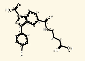 CC(=O)n1nc(-c2ccc(F)cc2)c2cc(C(=O)NCCCC(=O)O)ccc21